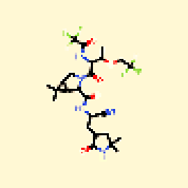 CC(OCC(F)(F)F)C(NC(=O)C(F)(F)F)C(=O)N1CC2C(C1C(=O)NC(C#N)CC1CC(C)(C)NC1=O)C2(C)C